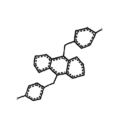 Ic1ccc(Cc2c3ccccc3c(Cc3ccc(I)cc3)c3ccccc23)cc1